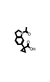 CC(=O)N1CCc2ccc(C3(C(=O)O)CC3)cc21